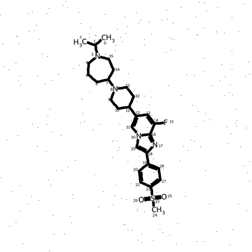 CC(C)N1CCCC(N2CCC(c3cc(F)c4nc(-c5ccc(S(C)(=O)=O)cc5)cn4c3)CC2)CC1